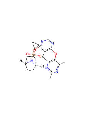 Cc1nc(C)c(Oc2ncnc(OC3C[C@@H]4CC[C@@H](C3)N4S(=O)(=O)C3CC3)c2C)c(C)n1